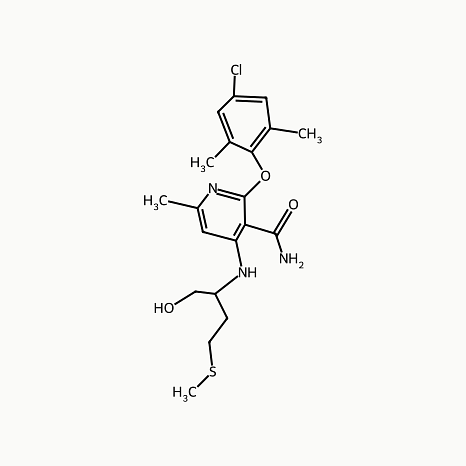 CSCCC(CO)Nc1cc(C)nc(Oc2c(C)cc(Cl)cc2C)c1C(N)=O